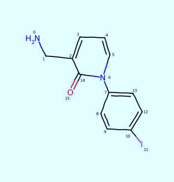 NCc1cccn(-c2ccc(I)cc2)c1=O